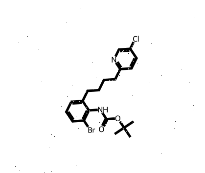 CC(C)(C)OC(=O)Nc1c(Br)cccc1CCCCc1ccc(Cl)cn1